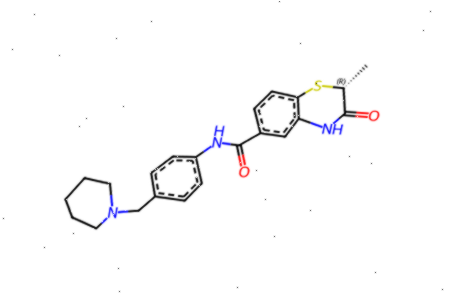 C[C@H]1Sc2ccc(C(=O)Nc3ccc(CN4CCCCC4)cc3)cc2NC1=O